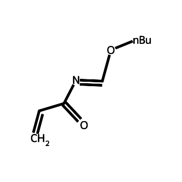 C=CC(=O)/N=C/OCCCC